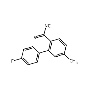 [C-]#[N+]C(=S)c1ccc(C)cc1-c1ccc(F)cc1